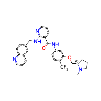 CN1CCC[C@@H]1COc1cc(NC(=O)c2cccnc2NCc2ccc3ncccc3c2)ccc1C(F)(F)F